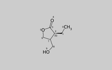 CC[C@@H]1C(=O)OCC1CO